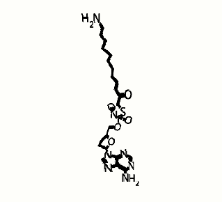 NCCCCCCCCCCC(=O)CSP(=O)(N=O)OC[C@@H]1CC[C@H](n2cnc3c(N)ncnc32)O1